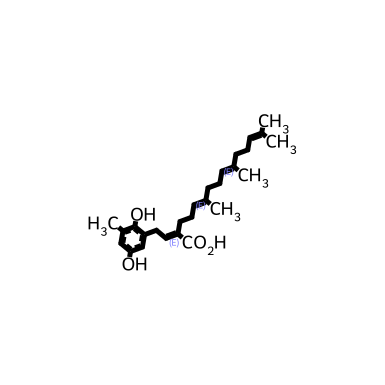 CC(C)=CCC/C(C)=C/CC/C(C)=C/CC/C(=C\Cc1cc(O)cc(C)c1O)C(=O)O